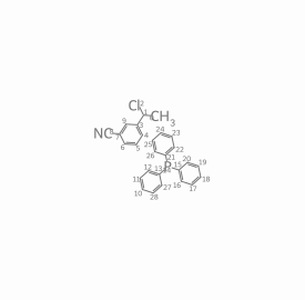 CC(Cl)c1cccc(C#N)c1.c1ccc(P(c2ccccc2)c2ccccc2)cc1